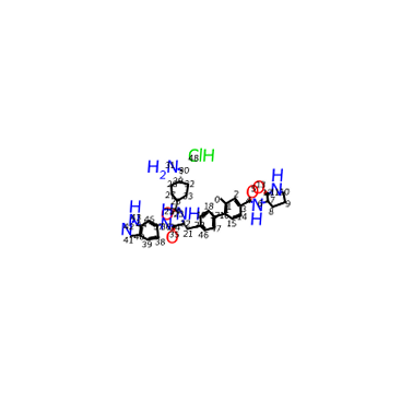 Cc1cc(C(=O)NC2CCCNC2=O)ccc1-c1ccc(C[C@H](NC(=O)[C@H]2CC[C@H](CN)CC2)C(=O)Nc2ccc3cn[nH]c3c2)cc1.Cl